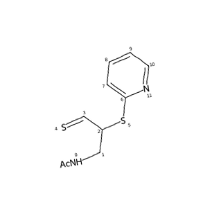 CC(=O)NCC(C=S)Sc1ccccn1